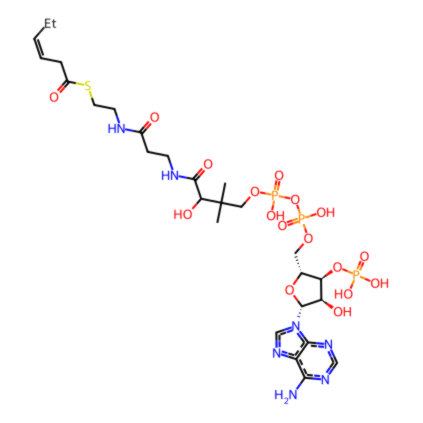 CC/C=C\CC(=O)SCCNC(=O)CCNC(=O)C(O)C(C)(C)COP(=O)(O)OP(=O)(O)OC[C@H]1O[C@@H](n2cnc3c(N)ncnc32)[C@H](O)[C@@H]1OP(=O)(O)O